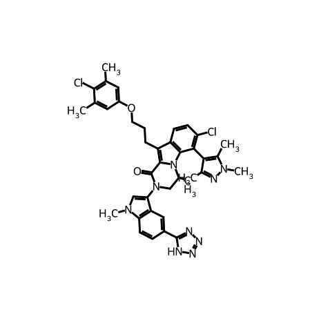 Cc1cc(OCCCc2c3n(c4c(-c5c(C)nn(C)c5C)c(Cl)ccc24)C(C)CN(c2cn(C)c4ccc(-c5nnn[nH]5)cc24)C3=O)cc(C)c1Cl